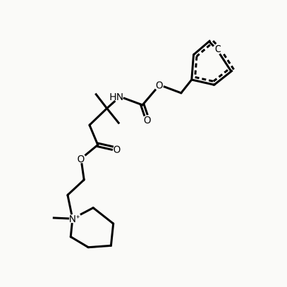 CC(C)(CC(=O)OCC[N+]1(C)CCCCC1)NC(=O)OCc1ccccc1